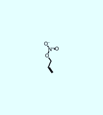 C=CCO[N+](=O)[O-]